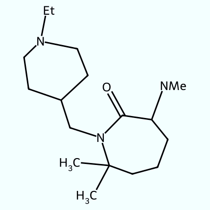 CCN1CCC(CN2C(=O)C(NC)CCCC2(C)C)CC1